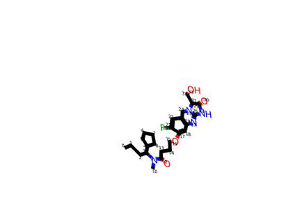 CCCC(C1CCCC1)N(C)C(=O)CCCOc1cc2c(cc1F)CN1C(=N2)NC(=O)C1CO